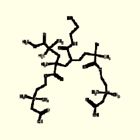 COC(=O)C(C)(C)CC(C)(CC(CCC(C)(Br)C(=O)OCC[N+](C)(C)CC(=O)O)C(=O)NCCO)C(=O)OCC[N+](C)(C)CC(=O)O